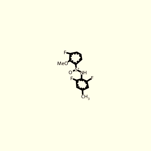 COc1c(F)cccc1[S+]([O-])Nc1c(F)cc(C)cc1F